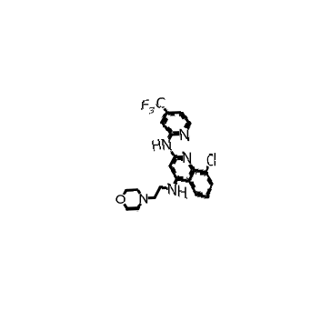 FC(F)(F)c1ccnc(Nc2cc(NCCN3CCOCC3)c3cccc(Cl)c3n2)c1